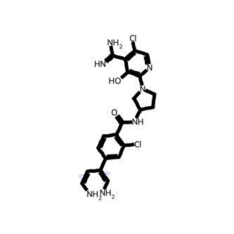 N=C(N)c1c(Cl)cnc(N2CCC(NC(=O)c3ccc(C(/C=C\N)=C/N)cc3Cl)C2)c1O